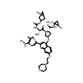 CC[C@@H]1C[C@]1(NC(=O)[C@@H]1C[C@@H](Oc2cc(C3=CSC(NC(C)C)=C(C)CC3)nc3cc(OCCN4CCOCC4)ccc23)CN1C(=O)[C@@H](NC(=O)OC1CC2C[C@H]2C1)C(C)(C)C)C(=O)O